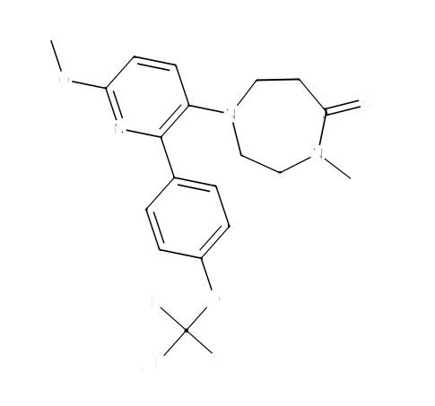 COc1ccc(N2CCC(=O)N(C)CC2)c(-c2ccc(OC(F)(F)F)cc2)n1